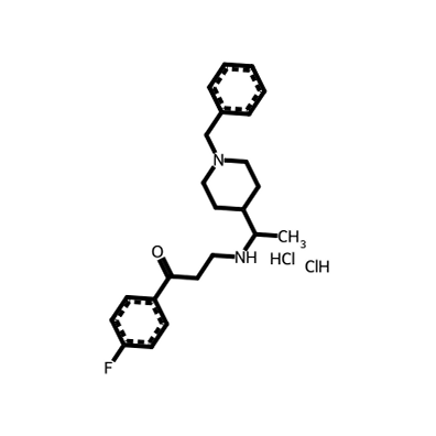 CC(NCCC(=O)c1ccc(F)cc1)C1CCN(Cc2ccccc2)CC1.Cl.Cl